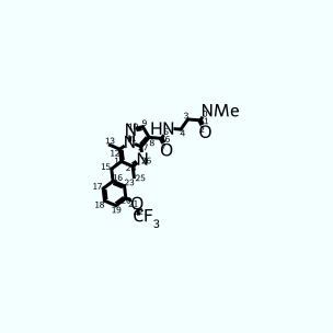 CNC(=O)CCNC(=O)c1cnn2c(C)c(Cc3cccc(OC(F)(F)F)c3)c(C)nc12